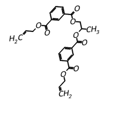 C=CCOC(=O)c1cccc(C(=O)OCC(C)OC(=O)c2cccc(C(=O)OCC=C)c2)c1